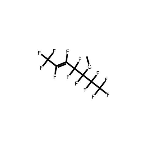 COC(F)(C(F)(F)C(F)=C(F)C(F)(F)F)C(F)(F)C(F)(F)F